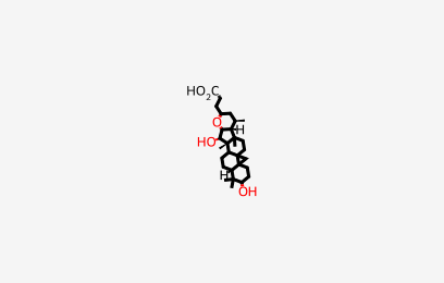 C[C@@H]1CC(CCC(=O)O)OC2[C@H]1C1(C)CCC34CC35CCC(O)C(C)(C)[C@@H]5CCC4[C@]1(C)[C@H]2O